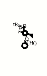 CC(C)(C)OC(=O)c1cc(C2CC2)c(OCC2(C=O)CCCCC2)cc1F